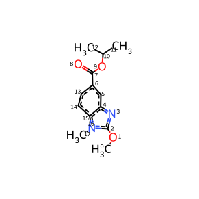 COc1nc2cc(C(=O)OC(C)C)ccc2n1C